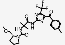 COC[C@@H]1CCCN1C(=O)NC(C)(C)C(=O)Nc1nc(C(F)(F)F)c(C(=O)c2ccc(C)cc2)s1